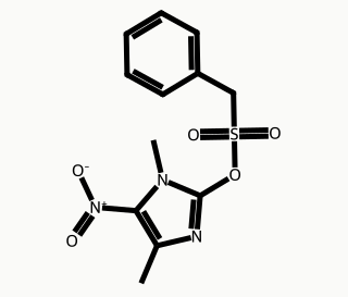 Cc1nc(OS(=O)(=O)Cc2ccccc2)n(C)c1[N+](=O)[O-]